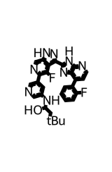 CC(C)(C)CC(O)Nc1cncc(-c2ncc3[nH]nc(-c4nc5c(-c6ccccc6F)ccnc5[nH]4)c3c2F)c1